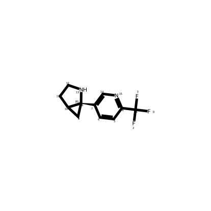 FC(F)(F)c1ccc([C@@]23CC2CCN3)cn1